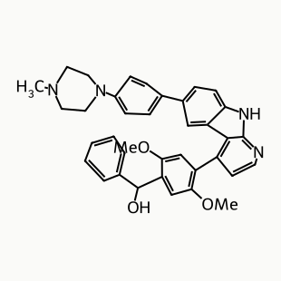 COc1cc(C(O)c2ccccc2)c(OC)cc1-c1ccnc2[nH]c3ccc(-c4ccc(N5CCN(C)CC5)cc4)cc3c12